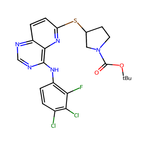 CC(C)(C)OC(=O)N1CCC(Sc2ccc3ncnc(Nc4ccc(Cl)c(Cl)c4F)c3n2)C1